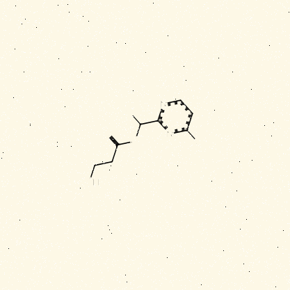 CCCC(=O)OC(C)c1nccc(Cl)n1